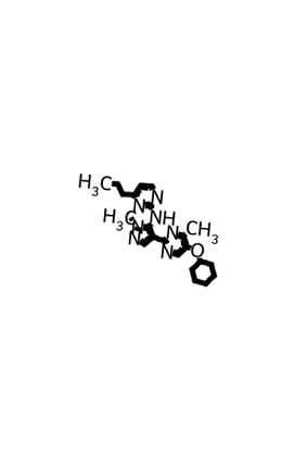 CCCc1ccnc(Nc2c(-c3ncc(OC4CCCCC4)c(C)n3)cnn2C)n1